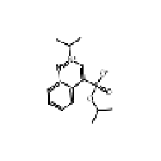 CC(C)OP(=O)([O-])c1c[n+](C(C)C)nc2ccccc12